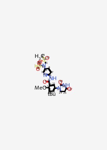 COc1c(C(=O)Nc2ccc(N(CS(C)(=O)=O)[SH](=O)=O)cn2)cc(N2CCC(=O)NC2=O)cc1C(C)(C)C